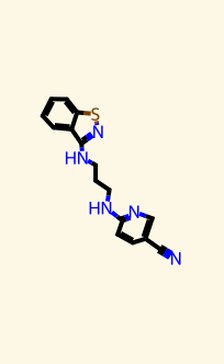 N#Cc1ccc(NCCCNc2nsc3ccccc23)nc1